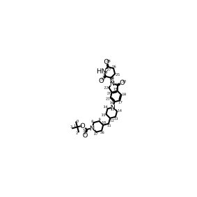 CC(C)(C)OC(=O)N1CCC(CC2CCN(c3ccc4c(c3)CN([C@H]3CCC(=O)NC3=O)C4=O)CC2)CC1